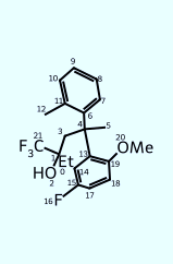 CCC(O)(CC(C)(c1ccccc1C)c1cc(F)ccc1OC)C(F)(F)F